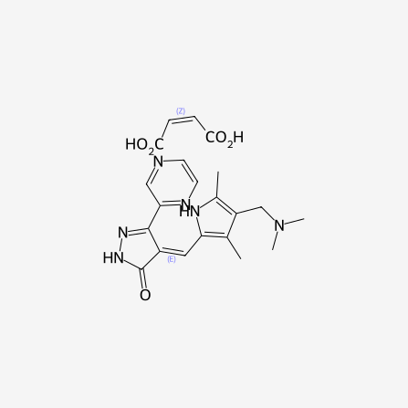 Cc1[nH]c(/C=C2/C(=O)NN=C2c2cnccn2)c(C)c1CN(C)C.O=C(O)/C=C\C(=O)O